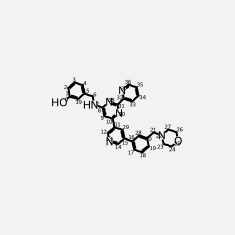 Oc1cccc(CNc2cc(-c3cncc(-c4cccc(CN5CCOCC5)c4)c3)nc(-c3ccccn3)n2)c1